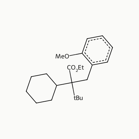 CCOC(=O)C(Cc1ccccc1OC)(C1CCCCC1)C(C)(C)C